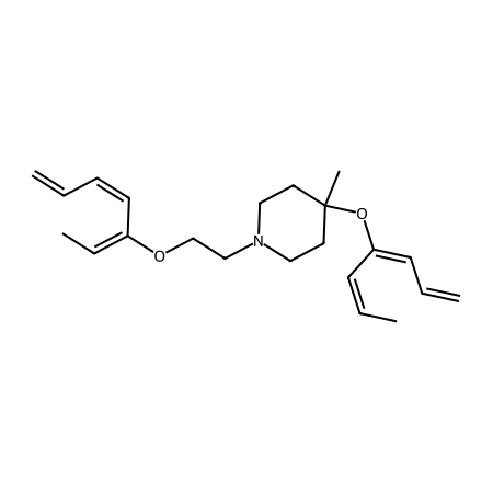 C=C/C=C\C(=C/C)OCCN1CCC(C)(OC(/C=C\C)=C/C=C)CC1